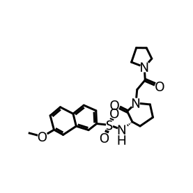 COc1ccc2ccc(S(=O)(=O)N[C@H]3CCCN(CC(=O)N4CCCC4)C3=O)cc2c1